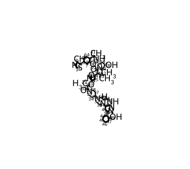 Cc1ncsc1-c1ccc(C(C)NC(=O)[C@@H]2C[C@@H](O)CN2C(=O)C(c2cc(OC(C)C(=O)N3CCC(N4CCN5c6cc(-c7ccccc7O)nnc6NC[C@H]5C4)CC3)no2)C(C)C)cc1